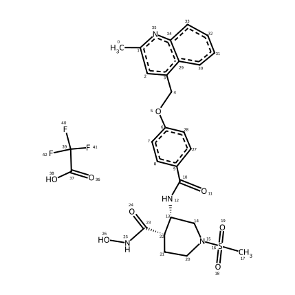 Cc1cc(COc2ccc(C(=O)N[C@@H]3CN(S(C)(=O)=O)CC[C@@H]3C(=O)NO)cc2)c2ccccc2n1.O=C(O)C(F)(F)F